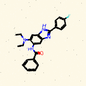 CCN(CC)c1cc2[nH]c(-c3ccc(F)cc3)nc2cc1NC(=O)c1ccccc1